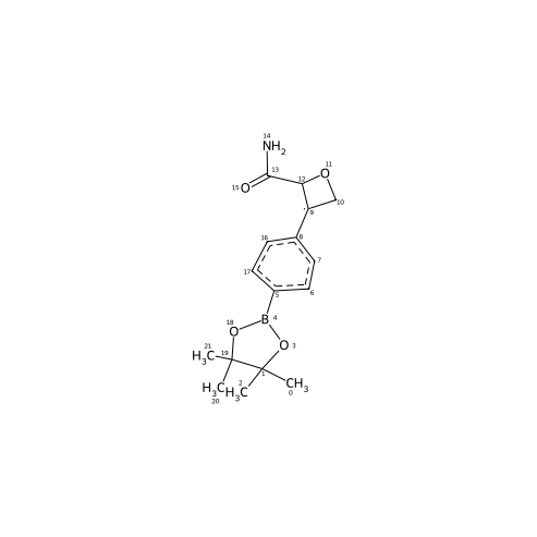 CC1(C)OB(c2ccc([C]3COC3C(N)=O)cc2)OC1(C)C